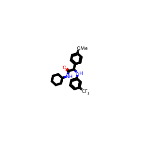 COc1ccc(C(Nc2cccc(C(F)(F)F)c2)C(=O)NC2CCCCC2)cc1